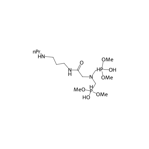 CCCNCCCNC(=O)CN(C[PH](O)(OC)OC)C[PH](O)(OC)OC